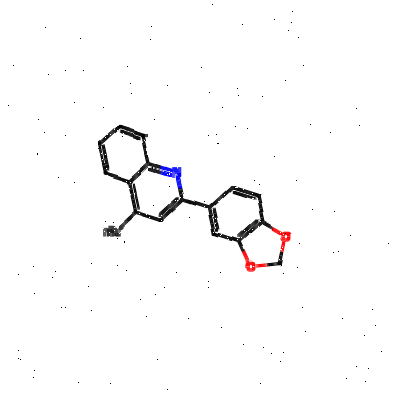 CCCCc1cc(-c2ccc3c(c2)OCO3)nc2[c]cccc12